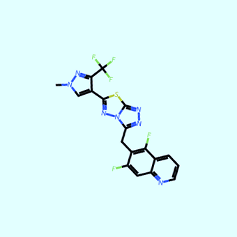 Cn1cc(-c2nn3c(Cc4c(F)cc5ncccc5c4F)nnc3s2)c(C(F)(F)F)n1